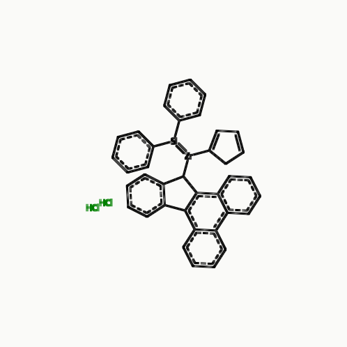 C1=CC[C]([Zr]([CH]2c3ccccc3-c3c2c2ccccc2c2ccccc32)=[Si](c2ccccc2)c2ccccc2)=C1.Cl.Cl